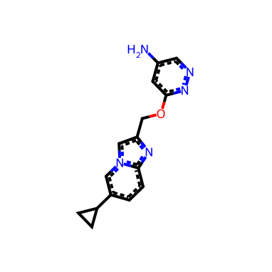 Nc1cnnc(OCc2cn3cc(C4CC4)ccc3n2)c1